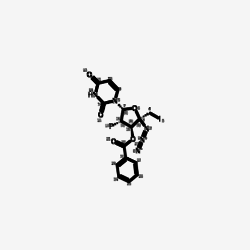 [N-]=[N+]=N[C@]1(CI)O[C@@H](n2ccc(=O)[nH]c2=O)[C@@H](F)[C@@H]1OC(=O)c1ccccc1